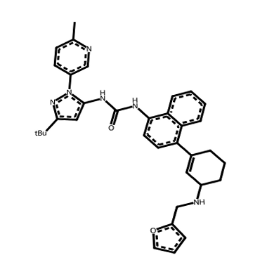 Cc1ccc(-n2nc(C(C)(C)C)cc2NC(=O)Nc2ccc(C3=CC(NCc4ccco4)CCC3)c3ccccc23)cn1